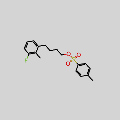 Cc1ccc(S(=O)(=O)OCCCCc2cccc(F)c2C)cc1